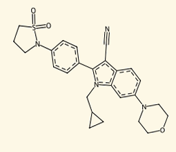 N#Cc1c(-c2ccc(N3CCCS3(=O)=O)cc2)n(CC2CC2)c2cc(N3CCOCC3)ccc12